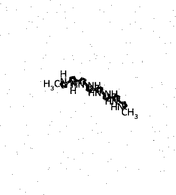 Cc1ccc(-c2ccc(C3=CC/C(=c4/cc/c(=c5/cc/c(=C6/CC=C(c7ccc(-c8ccc(C)[nH]8)[nH]7)N6)[nH]5)[nH]4)N3)[nH]2)[nH]1